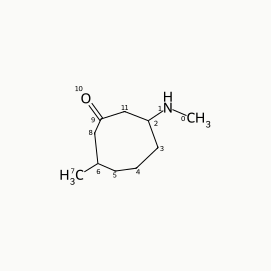 CNC1CCCC(C)CC(=O)C1